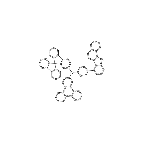 c1ccc2c(c1)-c1ccccc1C21c2ccccc2-c2ccc(N(c3ccc(-c4cccc5sc6c7ccccc7ccc6c45)cc3)c3ccc4c5ccccc5c5ccccc5c4c3)cc21